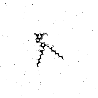 CCCCCCCC(=O)OC[C@H]1O[C@@H](n2cnc3c(=O)[nH]c(N)nc32)C[C@@H]1OC(=O)CCCCCCC